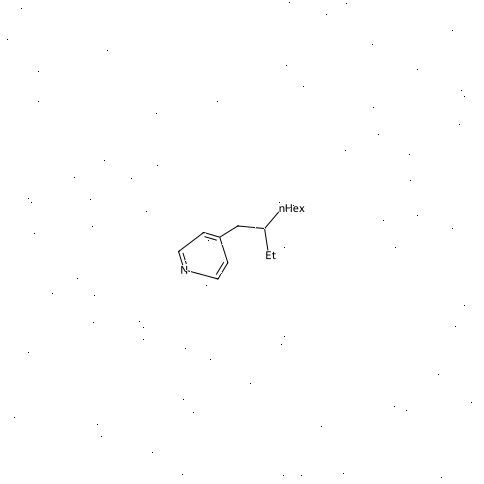 CCCCCCC(CC)Cc1ccncc1